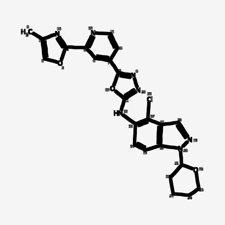 Cc1coc(-c2cc(-c3nnc(Nc4ccc5c(cnn5C5CCCCO5)c4Cl)o3)ccn2)n1